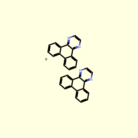 [Ir].c1ccc2c(c1)c1ccccc1c1nccnc21.c1ccc2c(c1)c1ccccc1c1nccnc21